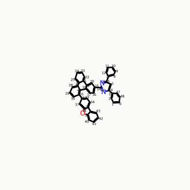 c1ccc(-c2cc(-c3ccccc3)nc(-c3ccc4c(c3)c3ccccc3c3cccc(-c5ccc6c(c5)oc5ccccc56)c34)n2)cc1